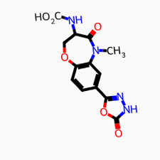 CN1C(=O)C(NC(=O)O)COc2ccc(-c3n[nH]c(=O)o3)cc21